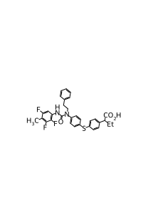 CCC(C(=O)O)c1ccc(Sc2ccc(N(CCc3ccccc3)C(=O)Nc3cc(F)c(C)c(F)c3F)cc2)cc1